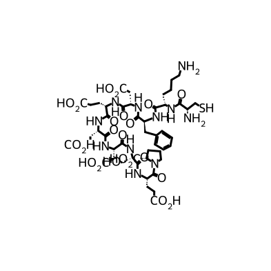 NCCCC[C@H](NC(=O)[C@@H](N)CS)C(=O)N[C@@H](Cc1ccccc1)C(=O)N[C@@H](CC(=O)O)C(=O)N[C@@H](CCC(=O)O)C(=O)N[C@@H](CC(=O)O)C(=O)N[C@@H](CC(=O)O)C(=O)N[C@@H](CO)C(=O)N[C@@H](CCC(=O)O)C(=O)N1CCC[C@H]1C(=O)O